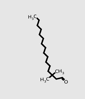 CCCCCCCCCCCCCC(C)(C)CC=O